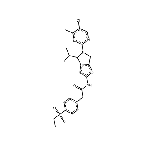 CCS(=O)(=O)c1ccc(CC(=O)Nc2nc3c(s2)CN(c2ncc(Cl)c(C)n2)C3C(C)C)cc1